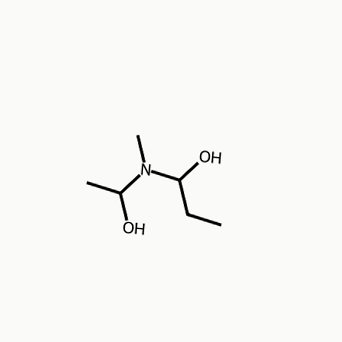 CCC(O)N(C)C(C)O